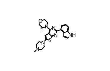 C[C@@H]1COCCN1c1nc(-c2cccc3[nH]ccc23)nc2sc(N3CCN(C)CC3)cc12